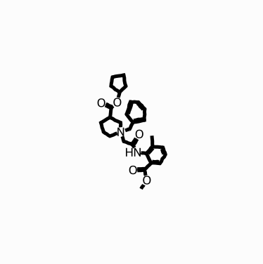 COC(=O)c1cccc(C)c1NC(=O)C[N+]1(Cc2ccccc2)CCCC(C(=O)OC2CCCC2)C1